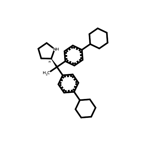 CC(c1ccc(C2CCCCC2)cc1)(c1ccc(C2CCCCC2)cc1)[C@H]1CCCN1